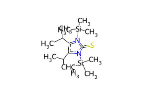 CC(C)c1c(C(C)C)n([Si](C)(C)C)c(=S)n1[Si](C)(C)C